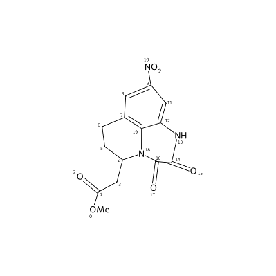 COC(=O)CC1CCc2cc([N+](=O)[O-])cc3[nH]c(=O)c(=O)n1c23